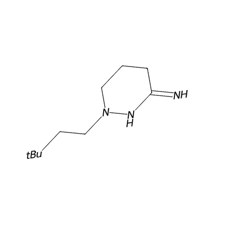 CC(C)(C)CCN1CCCC(=N)N1